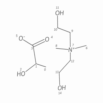 CC(O)C(=O)[O-].C[N+](C)(CCO)CCO